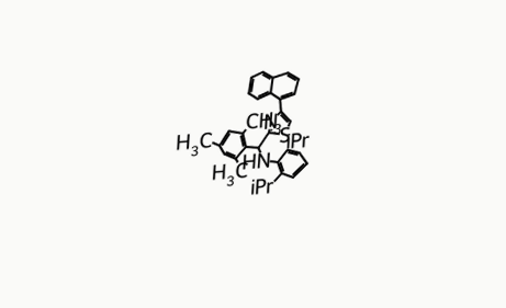 Cc1cc(C)c(C(Nc2c(C(C)C)cccc2C(C)C)c2nc(-c3cccc4ccccc34)cs2)c(C)c1